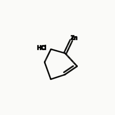 Cl.[Zn]=[C]1C=CCCC1